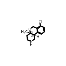 C[C@]12CCNC[C@@H]1c1cccc(Cl)c1CO2